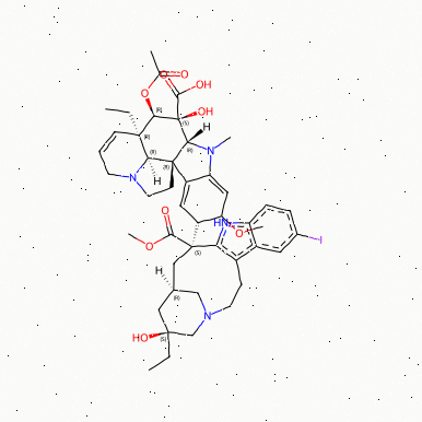 CC[C@]1(O)C[C@@H]2CN(CCc3c([nH]c4ccc(I)cc34)[C@@](C(=O)OC)(C3C=C4C(=CC3OC)N(C)[C@H]3[C@@](O)(C(=O)O)[C@H](OC(C)=O)[C@]5(CC)C=CCN6CC[C@]43[C@@H]65)C2)C1